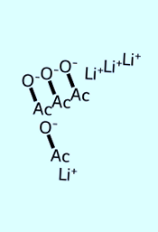 CC(=O)[O-].CC(=O)[O-].CC(=O)[O-].CC(=O)[O-].[Li+].[Li+].[Li+].[Li+]